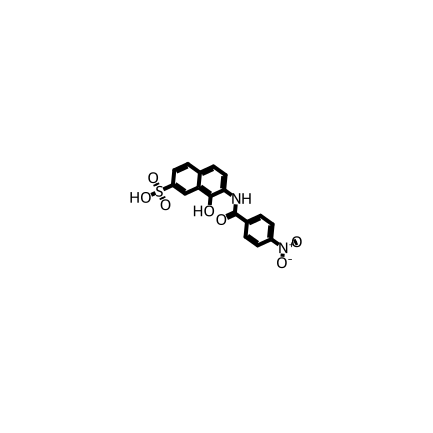 O=C(Nc1ccc2ccc(S(=O)(=O)O)cc2c1O)c1ccc([N+](=O)[O-])cc1